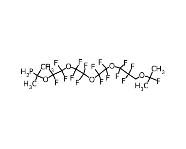 CC(C)(F)OCC(F)(F)C(F)(F)OC(F)(F)C(F)(F)OC(F)(F)C(F)(F)OC(F)(F)C(F)(F)OC(C)(C)P